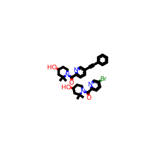 CC1(C)CC(O)CCN1C(=O)c1ccc(Br)cn1.CC1(C)CC(O)CCN1C(=O)c1ccc(C#Cc2ccccc2)cn1